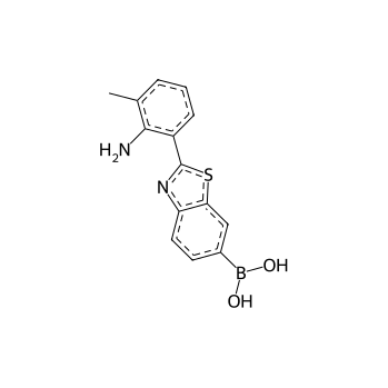 Cc1cccc(-c2nc3ccc(B(O)O)cc3s2)c1N